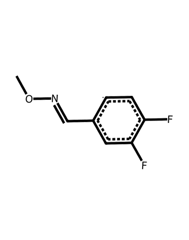 CO/N=C/c1[c]cc(F)c(F)c1